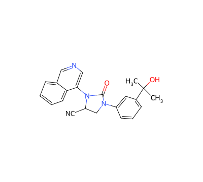 CC(C)(O)c1cccc(N2CC(C#N)N(c3cncc4ccccc34)C2=O)c1